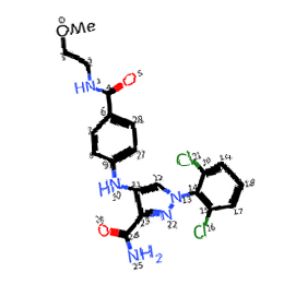 COCCNC(=O)c1ccc(Nc2cn(-c3c(Cl)cccc3Cl)nc2C(N)=O)cc1